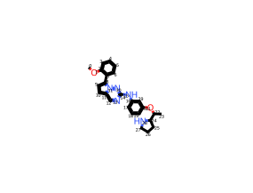 COc1ccccc1-c1ccc2cnc(Nc3cccc(OC(C)C4CCCN4)c3)nn12